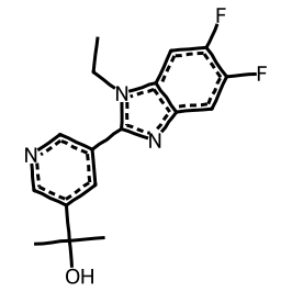 CCn1c(-c2cncc(C(C)(C)O)c2)nc2cc(F)c(F)cc21